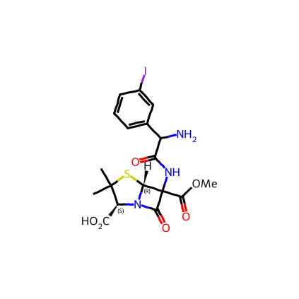 COC(=O)C1(NC(=O)C(N)c2cccc(I)c2)C(=O)N2[C@@H](C(=O)O)C(C)(C)S[C@@H]21